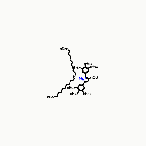 CCCCCCCCC1=C(c2cc(CCCCCC)c(CCCCCC)c(CCCCCC)c2)[N+](=[N-])C(c2cc(CCCCCC)c(CCCCCC)c(CCCCCC)c2)=C1.CCCCCCCCCCCCCCCCCC[CH2][Ni][CH2]CCCCCCCCCCCCCCCCCC